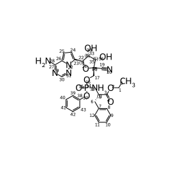 CCOC(=O)[C@H](Cc1ccccc1)NP(=O)(OC[C@@]1(C#N)O[C@@H](c2ccc3c(N)ncnn23)[C@H](O)[C@@H]1O)Oc1ccccc1